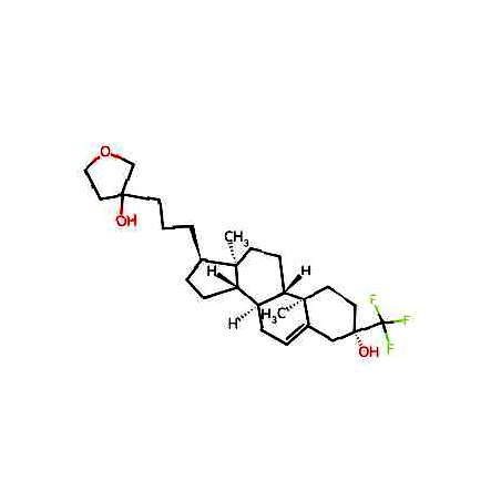 C[C@]12CC[C@H]3[C@@H](CC=C4C[C@](O)(C(F)(F)F)CC[C@@]43C)[C@@H]1CC[C@H]2CCCC1(O)CCOC1